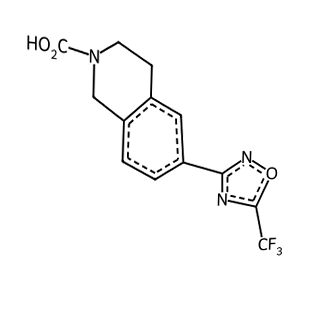 O=C(O)N1CCc2cc(-c3noc(C(F)(F)F)n3)ccc2C1